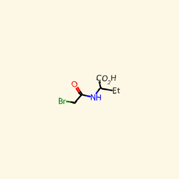 CCC(NC(=O)CBr)C(=O)O